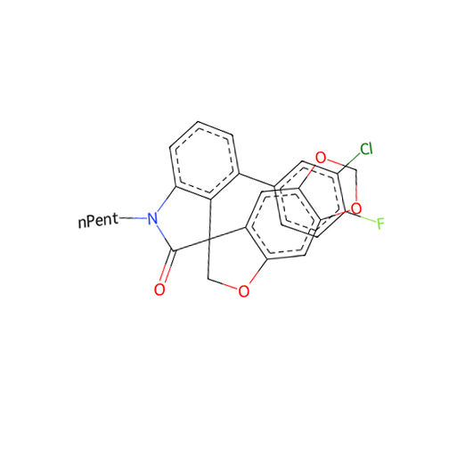 CCCCCN1C(=O)C2(COc3cc4c(cc32)OCO4)c2c(-c3ccc(F)c(Cl)c3)cccc21